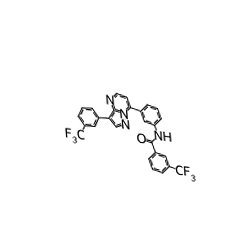 O=C(Nc1cccc(-c2ccnc3c(-c4cccc(C(F)(F)F)c4)cnn23)c1)c1cccc(C(F)(F)F)c1